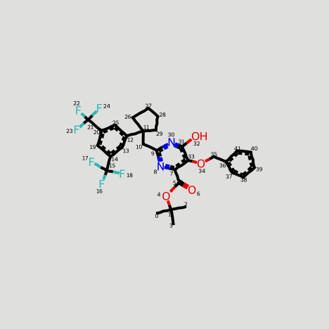 CC(C)(C)OC(=O)c1nc(CC2(c3cc(C(F)(F)F)cc(C(F)(F)F)c3)CCCC2)nc(O)c1OCc1ccccc1